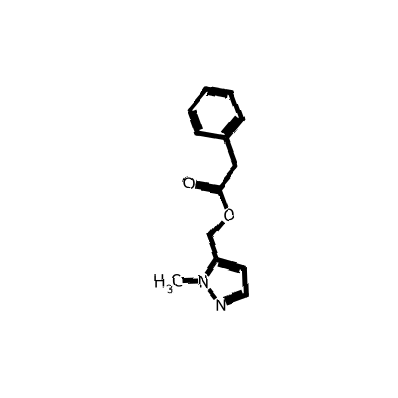 Cn1nccc1COC(=O)Cc1ccccc1